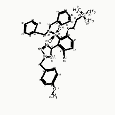 COc1ccc(CN2N=NC(c3c(Br)ccc(SCC[Si](C)(C)C)c3S(=O)(=O)N(Cc3ccccc3)Cc3ccccc3)N2)cc1